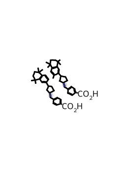 CC1(C)CCC(C)(C)c2cc(C3CC/C(=C\c4ccc(C(=O)O)cc4)C3)ccc21.Cc1cc2c(cc1C1CC/C(=C\c3ccc(C(=O)O)cc3)C1)C(C)(C)CCC2(C)C